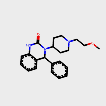 COCCN1CCC(N2C(=O)Nc3ccccc3C2c2ccccc2)CC1